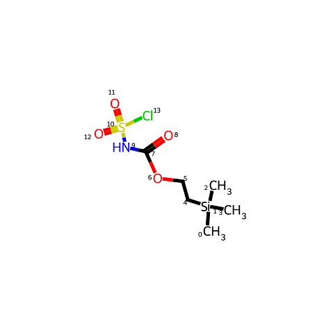 C[Si](C)(C)CCOC(=O)NS(=O)(=O)Cl